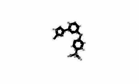 Cc1nc(-c2cc(Oc3ccc([N+](=O)[O-])nc3)ccn2)cs1